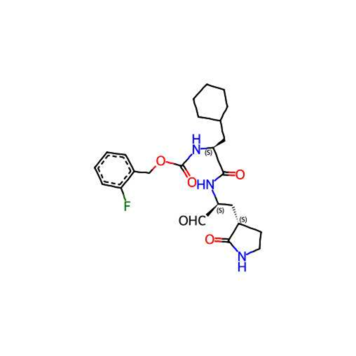 O=C[C@H](C[C@@H]1CCNC1=O)NC(=O)[C@H](CC1CCCCC1)NC(=O)OCc1ccccc1F